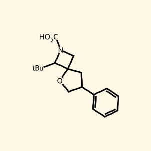 CC(C)(C)C1N(C(=O)O)CC12CC(c1ccccc1)CO2